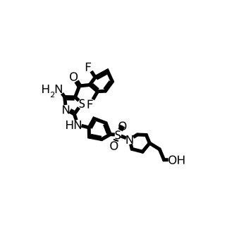 Nc1nc(Nc2ccc(S(=O)(=O)N3CCC(CCO)CC3)cc2)sc1C(=O)c1c(F)cccc1F